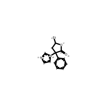 CCC1CC(c2ccccc2)(n2ccnc2)C(=O)O1